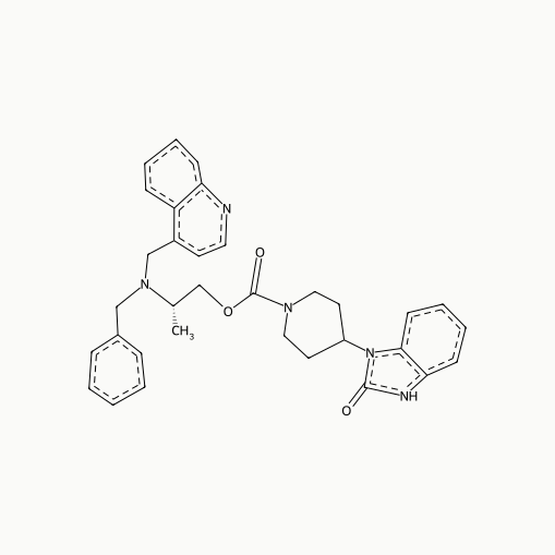 C[C@@H](COC(=O)N1CCC(n2c(=O)[nH]c3ccccc32)CC1)N(Cc1ccccc1)Cc1ccnc2ccccc12